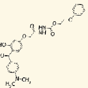 CN(C)c1ccc(C(=O)c2ccc(OCC(=O)NNC(=O)OCCOc3ccccc3)cc2O)cc1